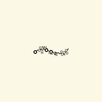 CCOC(=O)OC(C)OC(=O)CCc1cn(-c2ccc(-c3ccc(C(=N)NC(=O)OCc4ccccc4)cc3)nn2)cn1